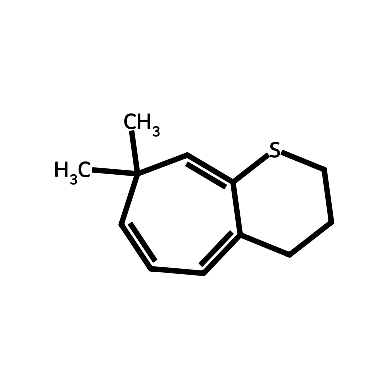 CC1(C)C=CC=C2CCCSC2=C1